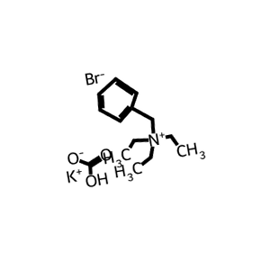 CC[N+](CC)(CC)Cc1ccccc1.O=C([O-])O.[Br-].[K+]